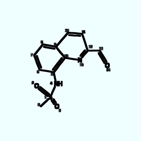 CS(=O)(=O)Nc1cccc2ccc(C=O)nc12